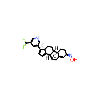 C[C@]12CC[C@H]3[C@@H](CCC4=CC(=NO)CC[C@@]43C)C1=CC=C2c1cncc(C(F)F)c1